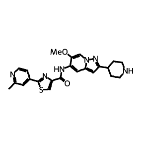 COc1cn2nc(C3CCNCC3)cc2cc1NC(=O)c1csc(-c2ccnc(C)c2)n1